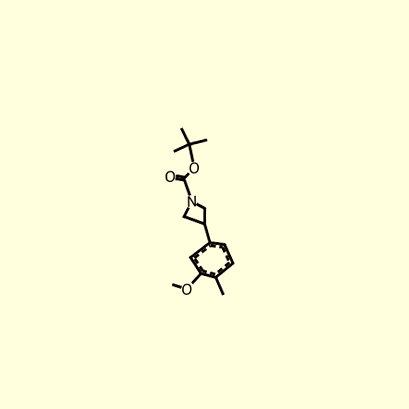 COc1cc(C2CN(C(=O)OC(C)(C)C)C2)ccc1C